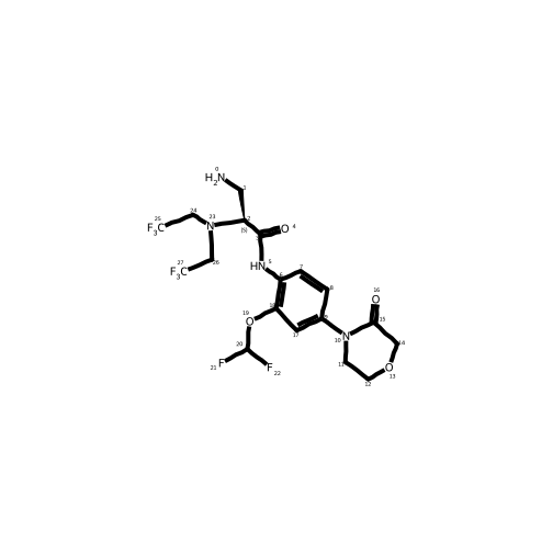 NC[C@@H](C(=O)Nc1ccc(N2CCOCC2=O)cc1OC(F)F)N(CC(F)(F)F)CC(F)(F)F